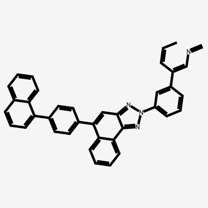 C=N/C=C(\C=C/C)c1cccc(-n2nc3cc(-c4ccc(-c5cccc6ccccc56)cc4)c4ccccc4c3n2)c1